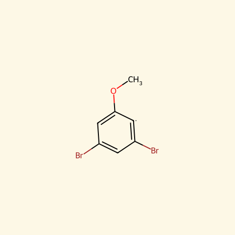 COc1[c]c(Br)cc(Br)c1